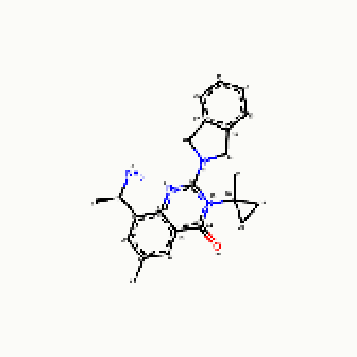 Cc1cc([C@@H](C)N)c2nc(N3Cc4ccccc4C3)n(C3(C)CC3)c(=O)c2c1